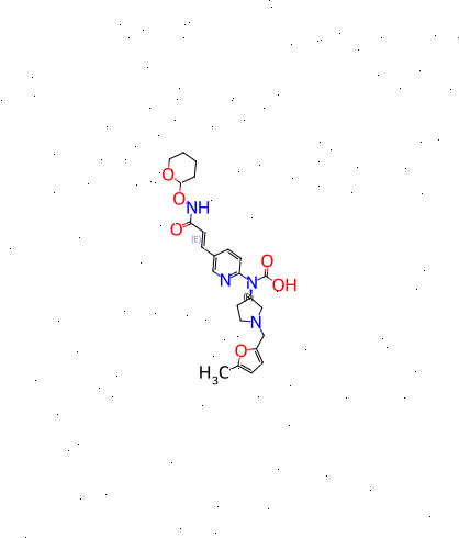 Cc1ccc(CN2CC[C@@H](N(C(=O)O)c3ccc(/C=C/C(=O)NOC4CCCCO4)cn3)C2)o1